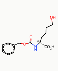 O=C(N[C@H](CCCCO)C(=O)O)OCc1ccccc1